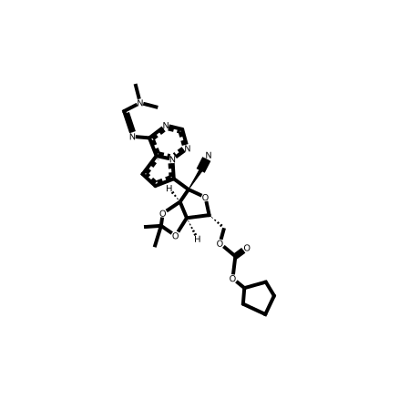 CN(C)/C=N\c1ncnn2c([C@]3(C#N)O[C@H](COC(=O)OC4CCCC4)[C@H]4OC(C)(C)O[C@H]43)ccc12